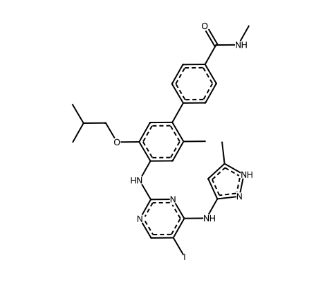 CNC(=O)c1ccc(-c2cc(OCC(C)C)c(Nc3ncc(I)c(Nc4cc(C)[nH]n4)n3)cc2C)cc1